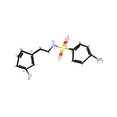 Cc1ccc(S(=O)(=O)NCCc2[c]ccc(Cl)c2)cc1